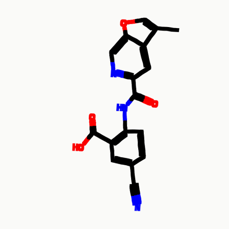 Cc1coc2cnc(C(=O)Nc3ccc(C#N)cc3C(=O)O)cc12